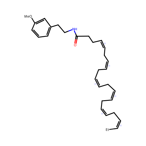 CC/C=C\C/C=C\C/C=C\C/C=C\C/C=C\C/C=C\CCC(=O)NCCc1cccc(OC)c1